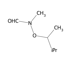 CC(C)C(C)ON(C)C=O